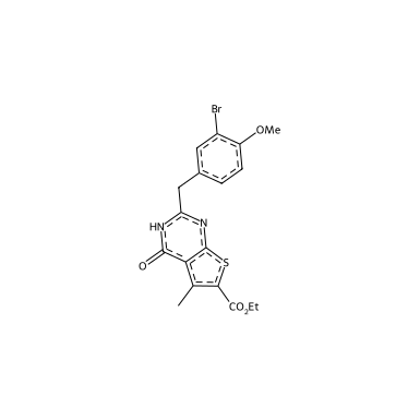 CCOC(=O)c1sc2nc(Cc3ccc(OC)c(Br)c3)[nH]c(=O)c2c1C